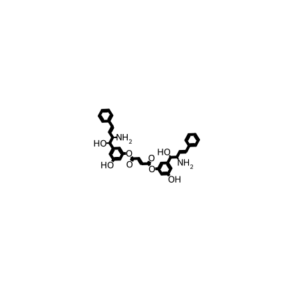 N[C@H](C=Cc1ccccc1)[C@H](O)c1cc(O)cc(OC(=O)/C=C/C(=O)Oc2cc(O)cc([C@@H](O)[C@H](N)C=Cc3ccccc3)c2)c1